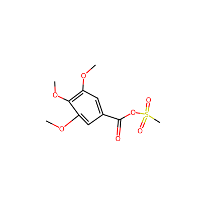 COc1cc(C(=O)OS(C)(=O)=O)cc(OC)c1OC